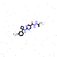 C=C(NNC(=O)c1cnc(NC2(c3cccc(C(F)(F)F)c3)CCC2)nc1)C(F)(F)F